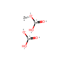 O=[Se]([O-])O.O=[Se]([O-])O.[Zn+2]